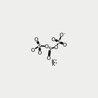 O=S(OS(=O)(=O)[O-])OS(=O)(=O)[O-].[K+].[K+]